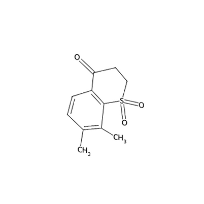 Cc1ccc2c(c1C)S(=O)(=O)CCC2=O